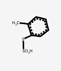 Cc1ccccc1SS(=O)(=O)O